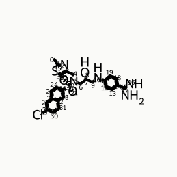 Cc1nc(CN(CC(O)CNc2ccc(C(=N)N)cc2)S(=O)(=O)c2ccc3cc(Cl)ccc3c2)cs1